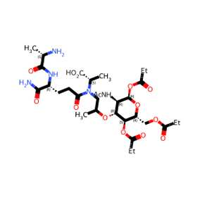 CCC(=O)OC[C@H]1O[C@H](OC(=O)CC)[C@H](NC(C)=O)[C@@H](OC(C)CN(C(=O)CC[C@@H](NC(=O)[C@H](C)N)C(N)=O)[C@@H](C)C(=O)O)[C@@H]1OC(=O)CC